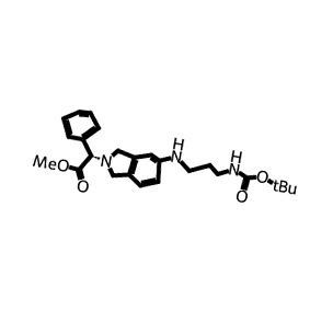 COC(=O)[C@H](c1ccccc1)N1Cc2ccc(NCCCNC(=O)OC(C)(C)C)cc2C1